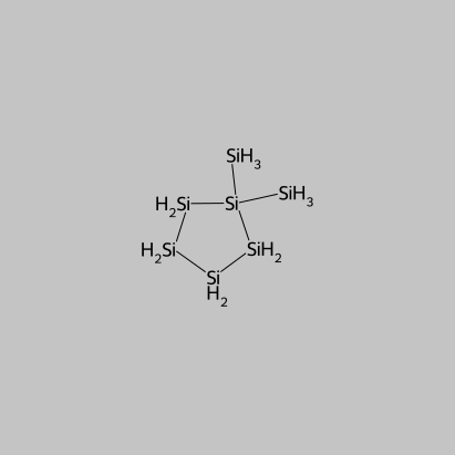 [SiH3][Si]1([SiH3])[SiH2][SiH2][SiH2][SiH2]1